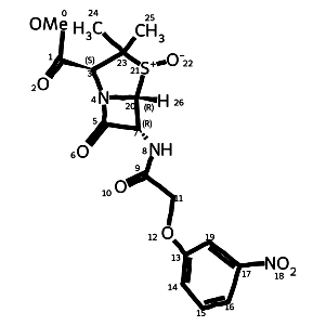 COC(=O)[C@@H]1N2C(=O)[C@@H](NC(=O)COc3cccc([N+](=O)[O-])c3)[C@H]2[S+]([O-])C1(C)C